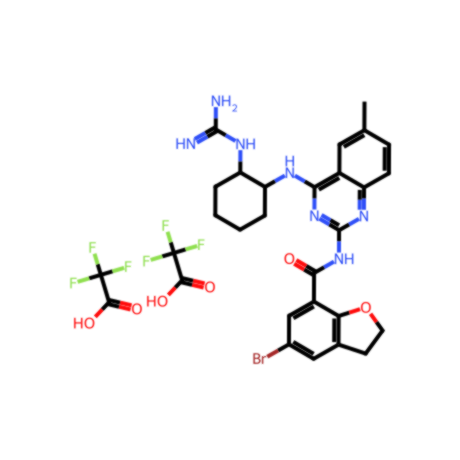 Cc1ccc2nc(NC(=O)c3cc(Br)cc4c3OCC4)nc(NC3CCCCC3NC(=N)N)c2c1.O=C(O)C(F)(F)F.O=C(O)C(F)(F)F